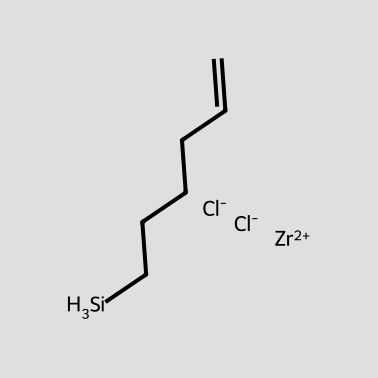 C=CCCCC[SiH3].[Cl-].[Cl-].[Zr+2]